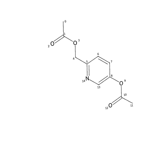 CC(=O)OCc1ccc(OC(C)=O)cn1